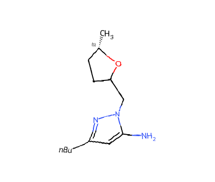 CCCCc1cc(N)n(CC2CC[C@H](C)O2)n1